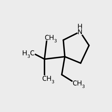 CCC1(C(C)(C)C)CCNC1